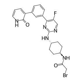 O=C(CBr)N[C@H]1CC[C@H](Nc2ncc(F)c(-c3cccc(-c4ccc[nH]c4=O)c3)n2)CC1